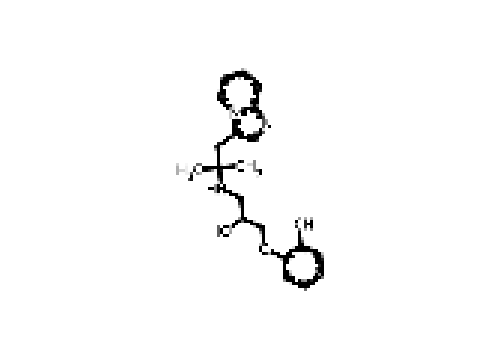 CC(C)(Cc1cnc2ccccn12)NCC(O)COc1ccccc1C#N